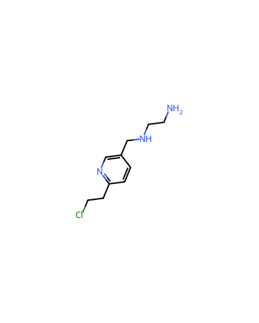 NCCNCc1ccc(CCCl)nc1